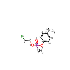 CP(=O)(OCCF)Oc1ccc([N+](=O)[O-])cc1